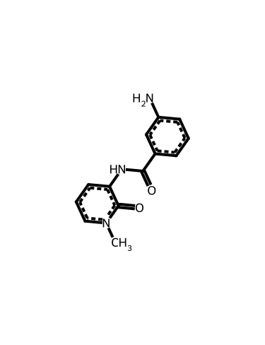 Cn1cccc(NC(=O)c2cccc(N)c2)c1=O